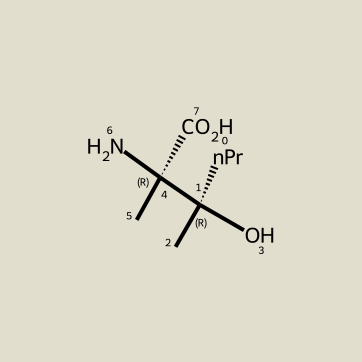 CCC[C@@](C)(O)[C@@](C)(N)C(=O)O